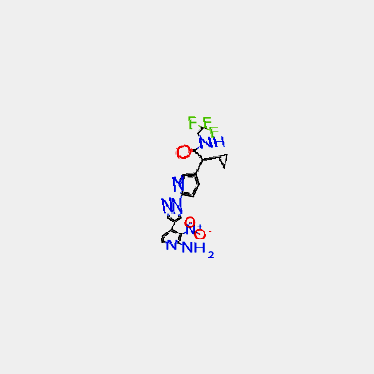 Nc1nccc(-c2cnn(-c3ccc(C(C(=O)NCC(F)(F)F)C4CC4)cn3)c2)c1[N+](=O)[O-]